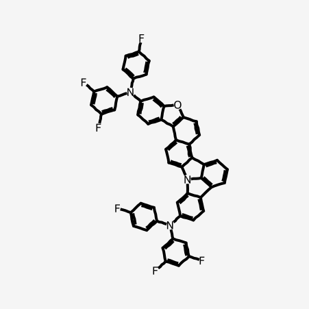 Fc1ccc(N(c2cc(F)cc(F)c2)c2ccc3c(c2)oc2ccc4c(ccc5c4c4cccc6c7ccc(N(c8ccc(F)cc8)c8cc(F)cc(F)c8)cc7n5c64)c23)cc1